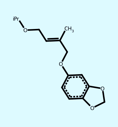 CC(=CCOC(C)C)COc1ccc2c(c1)OCO2